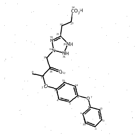 CC(Oc1ccc(Oc2ccccc2)cc1)C(=O)CN1N=C(CCC(=O)O)NN1